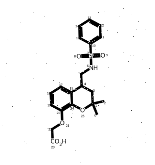 CC1(C)CC(CNS(=O)(=O)c2ccccc2)c2cccc(OCC(=O)O)c2O1